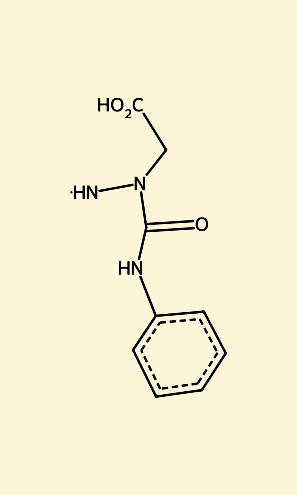 [NH]N(CC(=O)O)C(=O)Nc1ccccc1